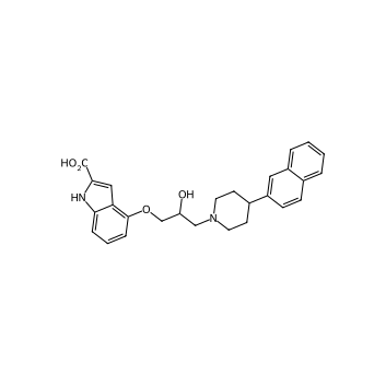 O=C(O)c1cc2c(OCC(O)CN3CCC(c4ccc5ccccc5c4)CC3)cccc2[nH]1